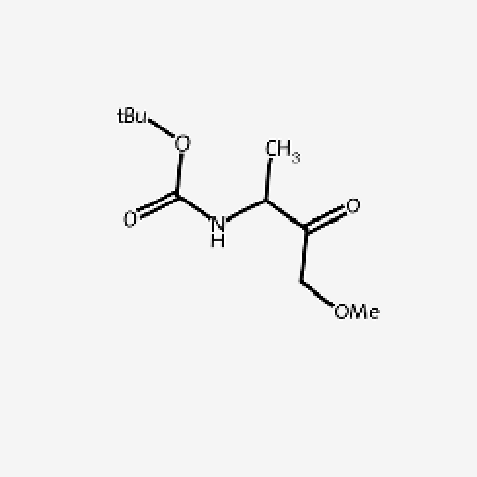 COCC(=O)C(C)NC(=O)OC(C)(C)C